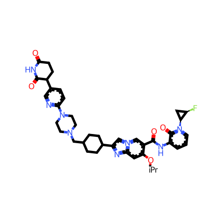 CC(C)Oc1cc2nc(C3CCC(CN4CCN(c5ccc(C6CCC(=O)NC6=O)cn5)CC4)CC3)cn2cc1C(=O)Nc1cccn([C@H]2C[C@H]2F)c1=O